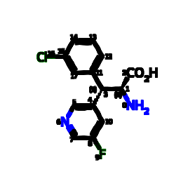 N[C@H](C(=O)O)[C@H](c1cncc(F)c1)c1cccc(Cl)c1